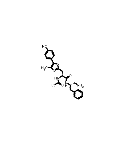 CCC(=O)N[C@@H](Cc1nc(C)c(-c2ccc(C#N)cc2)s1)C(=O)N[C@H](CN)Cc1ccccc1